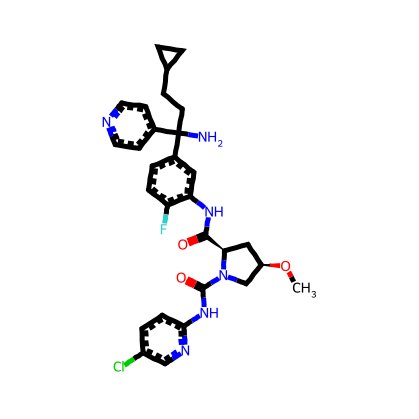 CO[C@@H]1C[C@H](C(=O)Nc2cc(C(N)(CCC3CC3)c3ccncc3)ccc2F)N(C(=O)Nc2ccc(Cl)cn2)C1